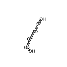 O=C(CSCSCC[S+]([O-])CSCSCSCSC(=O)CSCSCCOOCSCO)OCSCO